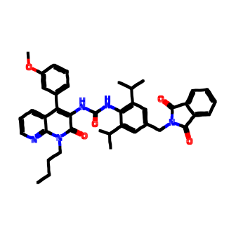 CCCCn1c(=O)c(NC(=O)Nc2c(C(C)C)cc(CN3C(=O)c4ccccc4C3=O)cc2C(C)C)c(-c2cccc(OC)c2)c2cccnc21